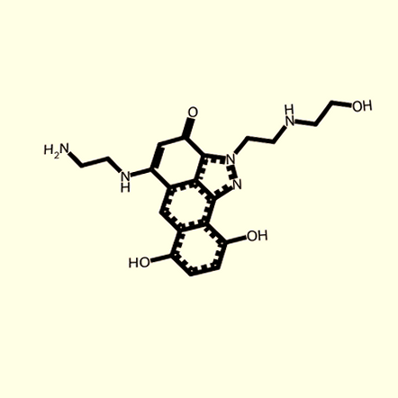 NCCNC1=CC(=O)c2c3c1cc1c(O)ccc(O)c1c3nn2CCNCCO